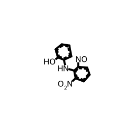 O=Nc1cccc([N+](=O)[O-])c1Nc1ccccc1O